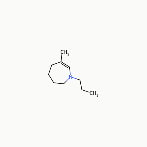 CCCN1C=C(C)CCCC1